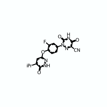 CC(C)c1cc(Oc2ccc(-n3nc(C#N)c(=O)[nH]c3=O)cc2F)n[nH]c1=O